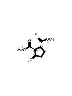 COC(=O)[C@@H]1C(=O)CC[C@H]1C(=O)OC